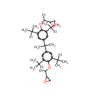 CCC(Oc1c(C(C)(C)CC)cc(C(C)(C)c2cc(C(C)(C)CC)c(OC(CC)C3CO3)c(C(C)(C)CC)c2)cc1C(C)(C)CC)C1CO1